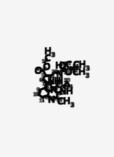 CCOC(=O)c1cc(-c2cccc3nc(C)c(NC4(C)CC4)nc23)[nH]c1CNC(=O)OC(C)(C)C